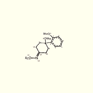 COc1ccccc1C1(OC)CCC(=NOC(C)=O)CC1